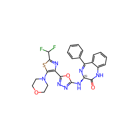 O=C1Nc2ccccc2C(c2ccccc2)=N[C@@H]1Nc1nnc(-c2nc(C(F)F)sc2N2CCOCC2)o1